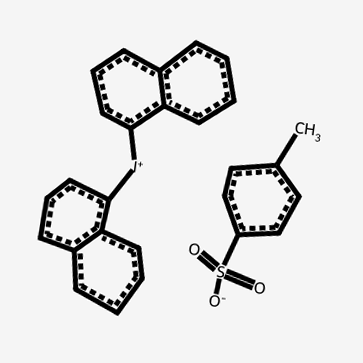 Cc1ccc(S(=O)(=O)[O-])cc1.c1ccc2c([I+]c3cccc4ccccc34)cccc2c1